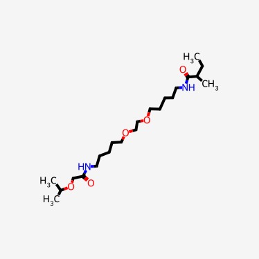 CCC(C)C(=O)NCCCCCOCCOCCCCCNC(=O)COC(C)C